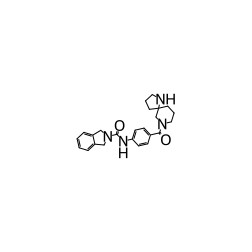 O=C(Nc1ccc(C(=O)N2CCCC3(CCCN3)C2)cc1)N1Cc2ccccc2C1